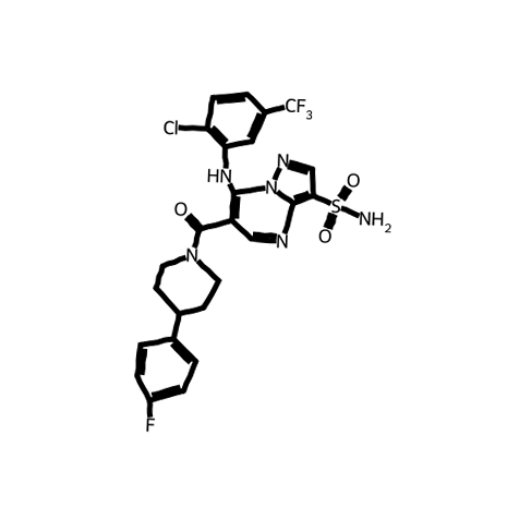 NS(=O)(=O)c1cnn2c(Nc3cc(C(F)(F)F)ccc3Cl)c(C(=O)N3CCC(c4ccc(F)cc4)CC3)cnc12